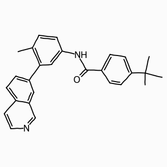 Cc1ccc(NC(=O)c2ccc(C(C)(C)C)cc2)cc1-c1ccc2ccncc2c1